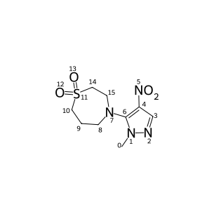 Cn1ncc([N+](=O)[O-])c1N1CCCS(=O)(=O)CC1